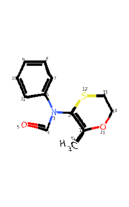 CC1=C(N(C=O)c2ccccc2)SCCO1